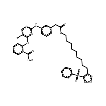 CNC(=O)c1ccccc1Nc1nc(Nc2cccc(CC(=O)OCCCCCCCCOc3nonc3S(=O)(=O)c3ccccc3)c2)ncc1Cl